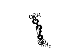 NS(=O)(=O)c1ccc(OCc2ccc(C3CCN(C(=O)O)CC3)cn2)cc1